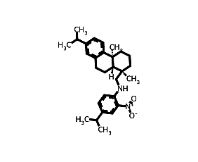 CC(C)c1ccc2c(c1)CC[C@H]1[C@@](C)(CNc3ccc(C(C)C)cc3[N+](=O)[O-])CCC[C@]21C